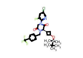 CC(C)(C)[Si](C)(C)O[C@H]1C[C@@H](C2C(=O)N(c3ncc(Cl)cc3F)CC(=O)N2Cc2ccc(C(F)(F)F)cc2)C1